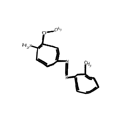 COc1cc(N=Nc2ccccc2C)ccc1N